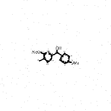 COc1nc(C(O)c2ccc(SC)cc2)ccc1C